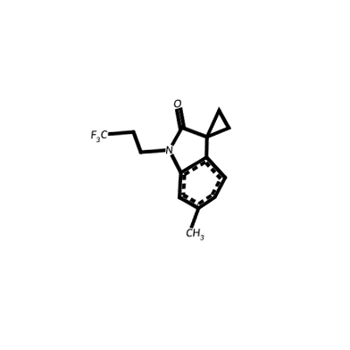 Cc1ccc2c(c1)N(CCC(F)(F)F)C(=O)C21CC1